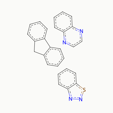 c1ccc2c(c1)Cc1ccccc1-2.c1ccc2nccnc2c1.c1ccc2snnc2c1